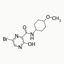 COC1CCC(NC(=O)c2nc(Br)cnc2O)CC1